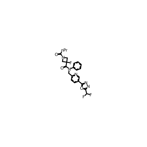 CCCC(=O)N1CC(F)(C(=O)N(Cc2ccc(-c3nnc(C(F)F)o3)cn2)c2ccccc2)C1